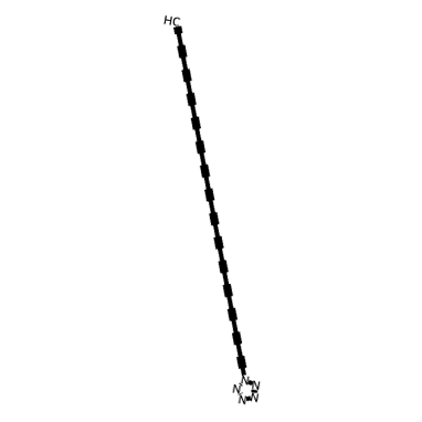 C#CC#CC#CC#CC#CC#CC#CC#CC#CC#CC#CC#CC#CC#CC#Cn1nnnn1